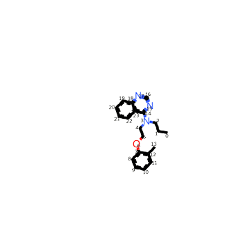 CCCN(CCOc1ccccc1C)c1ncnc2ccccc12